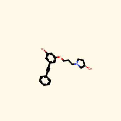 O[C@@H]1CCN(CCCOc2cc(Br)cc(C#Cc3ccccc3)c2)C1